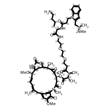 CNN(C)Cc1cc2ccccc2n1CCC(=O)N[C@@H](CCCCN)C(=O)NCCOCCOCCC(=O)N(C)[C@@H](C)C(=O)O[C@H]1CC(=O)N(C)c2cc(cc(OC)c2Cl)C/C(C)=C/C=C/[C@@H](OC)[C@@]2(O)C[C@H](OC(=O)N2)[C@@H](C)C2O[C@]21C